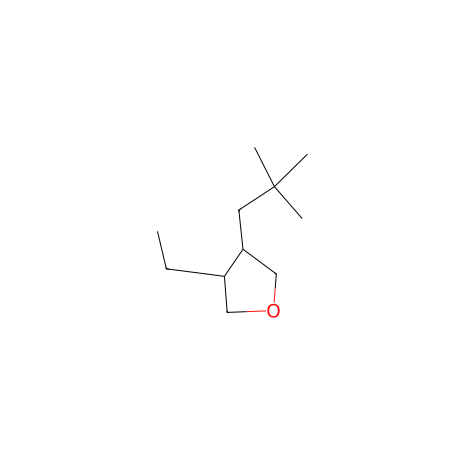 CCC1COCC1CC(C)(C)C